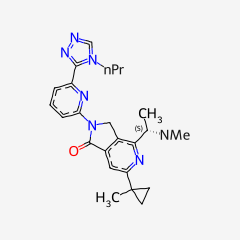 CCCn1cnnc1-c1cccc(N2Cc3c(cc(C4(C)CC4)nc3[C@H](C)NC)C2=O)n1